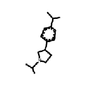 CC(C)c1ccc(C2CCN(C(C)C)C2)cc1